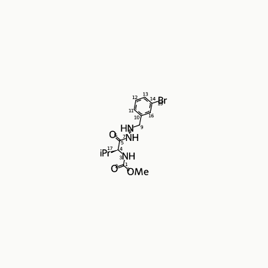 COC(=O)N[C@H](C(=O)NNCc1cccc(Br)c1)C(C)C